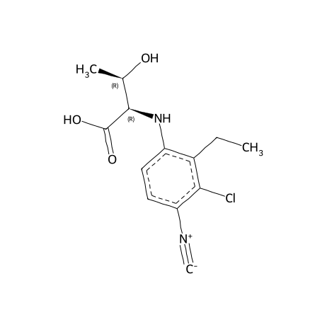 [C-]#[N+]c1ccc(N[C@@H](C(=O)O)[C@@H](C)O)c(CC)c1Cl